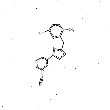 Cc1ccc(C)c(Cc2ccc(-c3cccc(C#N)n3)s2)c1